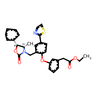 CCOC(=O)Cc1cccc(Oc2ccc(-c3nccs3)cc2CN2C(=O)O[C@H](c3ccccc3)[C@@H]2C)c1